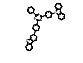 c1ccc(-c2nc(-c3ccc(-c4ccc5c(c4)oc4ccccc45)cc3)nc(-c3ccc(-n4c5ccccc5c5ccccc54)cc3)n2)cc1